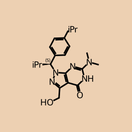 CC(C)c1ccc([C@H](C(C)C)n2nc(CO)c3c(=O)[nH]c(N(C)C)nc32)cc1